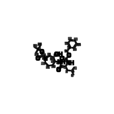 CC(C)CC(NC(=O)OCc1ccccc1)C(=O)NC1CCCN(C(=O)OC(C)(C)C)CC1O